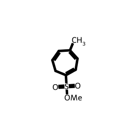 COS(=O)(=O)C1=CC=C(C)C=CC1